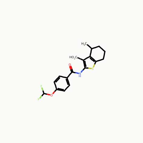 CC1CCCc2sc(NC(=O)c3ccc(OC(F)F)cc3)c(C(=O)O)c21